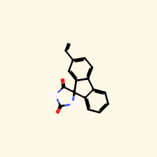 C=Cc1ccc2c(c1)C1(NC(=O)NC1=O)c1ccccc1-2